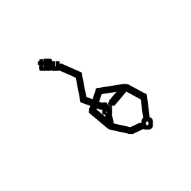 CC(C)(C)CCN1C2CCC1COC2